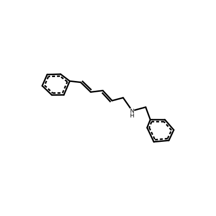 C(/C=C/c1ccccc1)=C\CNCc1ccccc1